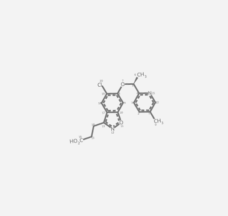 Cc1ccc([C@H](C)Oc2cc3onc(CCC(=O)O)c3cc2Cl)nc1